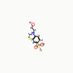 COCCN1CSc2cc(S(C)(=O)=O)ccc21